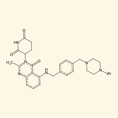 Cc1nc2cccc(NCc3ccc(CN4CCN(C(C)C)CC4)cc3)c2c(=O)n1C1CCC(=O)NC1=O